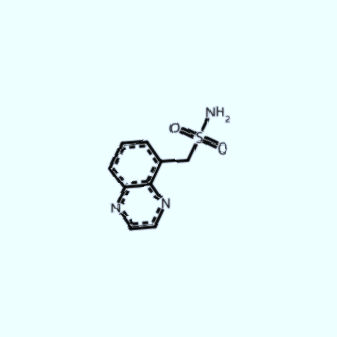 NS(=O)(=O)Cc1cccc2nccnc12